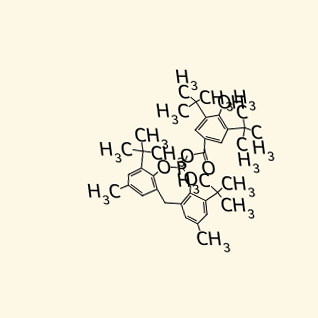 Cc1cc2c(c(C(C)(C)C)c1)OP(OC(=O)c1cc(C(C)(C)C)c(O)c(C(C)(C)C)c1)Oc1c(cc(C)cc1C(C)(C)C)C2